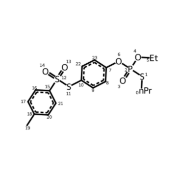 CCCSP(=O)(OCC)Oc1ccc(SS(=O)(=O)c2ccc(C)cc2)cc1